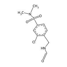 CN(C)S(=O)(=O)c1ccc(CNC=O)c(Cl)c1